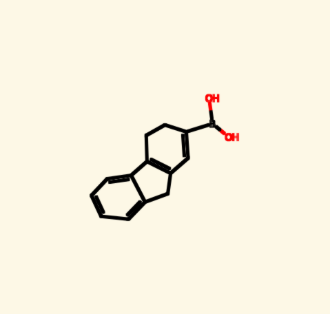 OB(O)C1=CC2=C(CC1)c1ccccc1C2